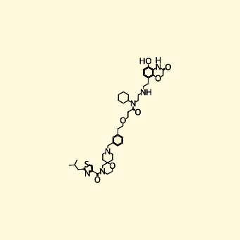 CC(C)Cc1nc(C(=O)N2CCOC3(CCN(Cc4cccc(CCOCCC(=O)N(CCNCCc5ccc(O)c6c5OCC(=O)N6)C5CCCCC5)c4)CC3)C2)cs1